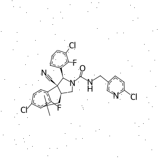 CC(C)(C)C[C@@H]1CN(C(=O)NCc2ccc(Cl)nc2)[C@H](c2cccc(Cl)c2F)[C@@]1(C#N)c1ccc(Cl)cc1F